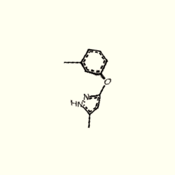 Cc1cccc(Oc2cc(C)[nH]n2)c1